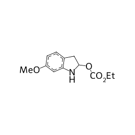 CCOC(=O)OC1Cc2ccc(OC)cc2N1